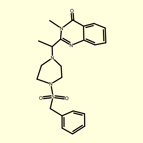 CC(c1nc2ccccc2c(=O)n1C)N1CCN(S(=O)(=O)Cc2ccccc2)CC1